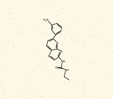 CCNC(=O)Nc1cnc2ccc(-c3cccc(N)c3)nc2n1